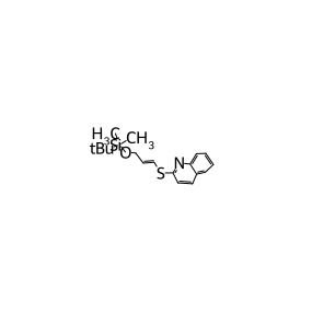 CC(C)(C)[Si](C)(C)OCC=CSc1ccc2ccccc2n1